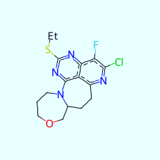 CCSc1nc2c3c(nc(Cl)c(F)c3n1)CCC1COCCCN21